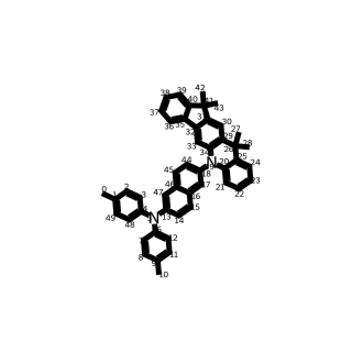 Cc1ccc(N(c2ccc(C)cc2)c2ccc3cc(N4c5ccccc5C(C)(C)c5cc6c(cc54)-c4ccccc4C6(C)C)ccc3c2)cc1